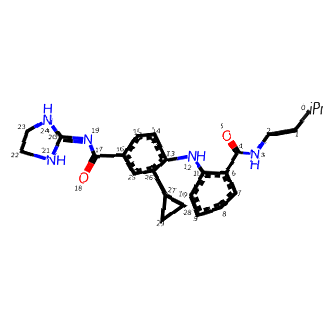 CC(C)CCNC(=O)c1ccccc1Nc1ccc(C(=O)N=C2NCCN2)cc1C1CC1